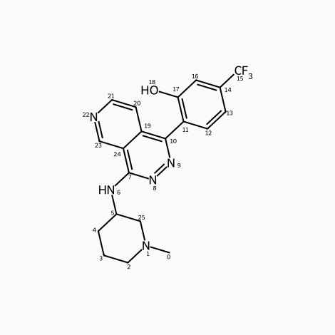 CN1CCCC(Nc2nnc(-c3ccc(C(F)(F)F)cc3O)c3ccncc23)C1